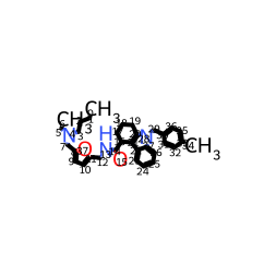 CCCCN(CC)Cc1ccc(CNC(=O)C2CCCc3c2c2ccccc2n3Cc2ccc(C)cc2)o1